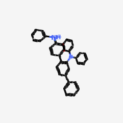 c1ccc(Nc2ccc(-c3ccc(-c4ccccc4)cc3N(c3ccccc3)c3ccccc3)cc2)cc1